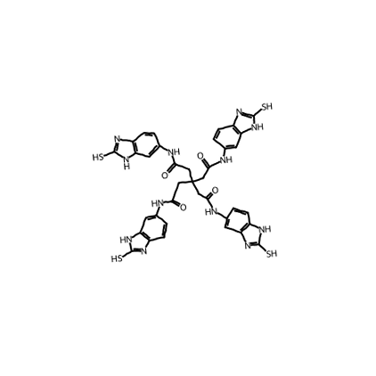 O=C(CC(CC(=O)Nc1ccc2nc(S)[nH]c2c1)(CC(=O)Nc1ccc2nc(S)[nH]c2c1)CC(=O)Nc1ccc2nc(S)[nH]c2c1)Nc1ccc2[nH]c(S)nc2c1